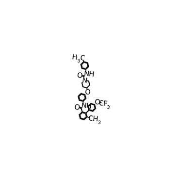 Cc1ccc(NC(=O)N2CCC(Oc3cccc(NC(=O)c4cccc(C)c4-c4ccc(OC(F)(F)F)cc4)c3)CC2)cc1